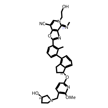 C/N=c1/c2nc(-c3cccc(-c4cccc5c4CC[C@@H]5Oc4ccc(CN5CC[C@@H](O)C5)c(OC)n4)c3C)oc2c(C#N)cn1CCO